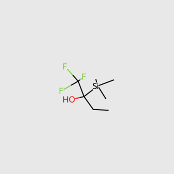 CCC(O)(C(F)(F)F)[Si](C)(C)C